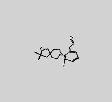 CC1(C)CC2(CCN(c3c(F)cccc3CC=O)CC2)CO1